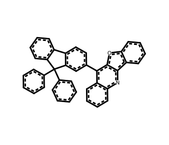 c1ccc(C2(c3ccccc3)c3ccccc3-c3ccc(-c4c5ccccc5nc5c4oc4ccccc45)cc32)cc1